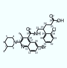 Cc1c(N2CCCC(C)C2)nc2ccc(Br)cc2c1C(=O)NCC(CCC(=O)O)c1ccccc1Cl